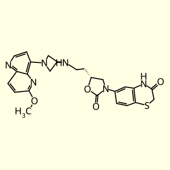 COc1ccc2nccc(N3CC(NCC[C@@H]4CN(c5ccc6c(c5)NC(=O)CS6)C(=O)O4)C3)c2n1